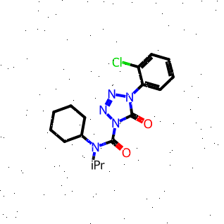 CC(C)N(C(=O)n1nnn(-c2ccccc2Cl)c1=O)C1CCCCC1